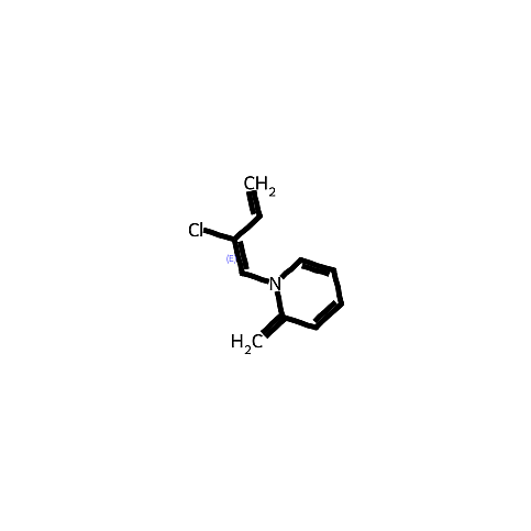 C=C/C(Cl)=C\N1C=CC=CC1=C